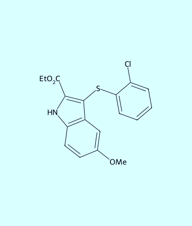 CCOC(=O)c1[nH]c2ccc(OC)cc2c1Sc1ccccc1Cl